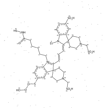 CCN1C(=CC=CC2=[N+](CCCCCC(=O)NS)c3ccc(SOOO)cc3C23CCN(CS(=O)(=O)O)CC3)C2(CCN(CS(=O)(=O)O)CC2)c2cc(S(=O)(=O)O)ccc21